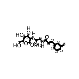 COC1OC(CO)C(O)C(O)C1NC(=O)CNC(=O)/C=C/c1cccc(C)c1